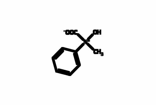 C[N+](O)(C(=O)[O-])c1ccccc1